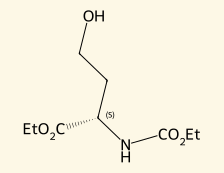 CCOC(=O)N[C@@H](CCO)C(=O)OCC